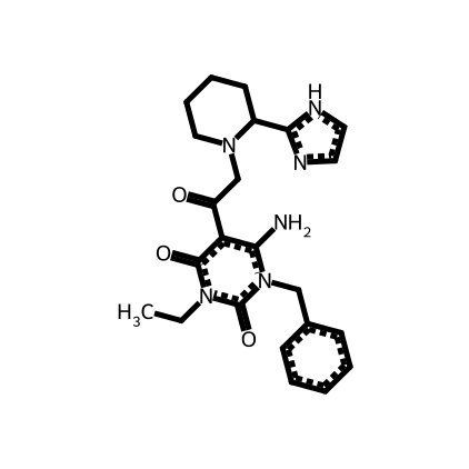 CCn1c(=O)c(C(=O)CN2CCCCC2c2ncc[nH]2)c(N)n(Cc2ccccc2)c1=O